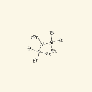 CC[CH]N([Si](CC)(CC)CC)[Si](CC)(CC)CC